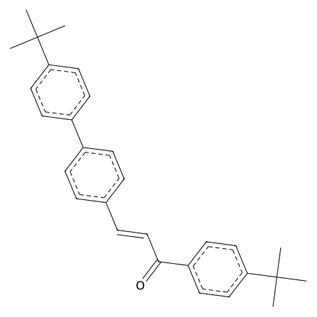 CC(C)(C)c1ccc(C(=O)/C=C/c2ccc(-c3ccc(C(C)(C)C)cc3)cc2)cc1